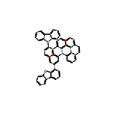 c1cc(-c2cccc3c2oc2ccccc23)cc(N(c2ccccc2-c2ccccc2-n2c3ccccc3c3ccccc32)c2cccc3ccc4ccccc4c23)c1